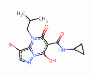 CC(C)Cn1c(=O)c(C(=O)NC2CC2)c(O)n2ncc(Br)c12